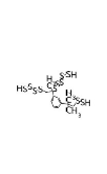 CC(C)(CSS)c1cccc(C(C)(CSSSS)SSSSS)c1